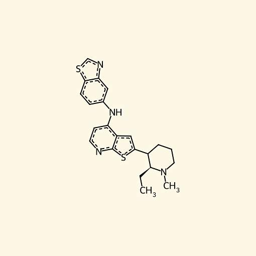 CC[C@H]1C(c2cc3c(Nc4ccc5scnc5c4)ccnc3s2)CCCN1C